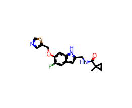 CC1(C(=O)NCc2cc3cc(F)c(OCc4cncs4)cc3[nH]2)CC1